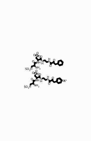 NC(CS(=O)(=O)O)C(=O)NC(CS(=O)(=O)[O-])C(=O)NCCNC(=O)C(=O)Cc1ccccc1.NC(CS(=O)(=O)O)C(=O)NC(CS(=O)(=O)[O-])C(=O)NCCNC(=O)C(=O)Cc1ccccc1.[K+].[K+]